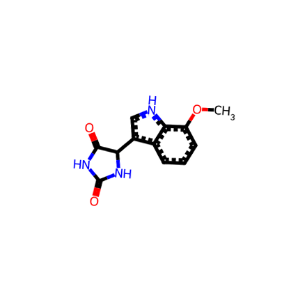 COc1cccc2c(C3NC(=O)NC3=O)c[nH]c12